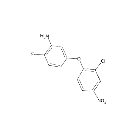 Nc1cc(Oc2ccc([N+](=O)[O-])cc2Cl)ccc1F